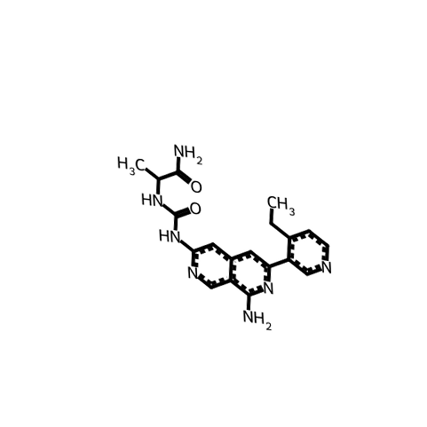 CCc1ccncc1-c1cc2cc(NC(=O)NC(C)C(N)=O)ncc2c(N)n1